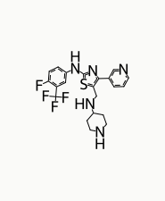 Fc1ccc(Nc2nc(-c3cccnc3)c(CNC3CCNCC3)s2)cc1C(F)(F)F